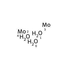 O.O.O.[Mo].[Mo]